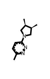 Cc1ccc(N2C[C@@H](C)[C@@H](C)C2)nn1